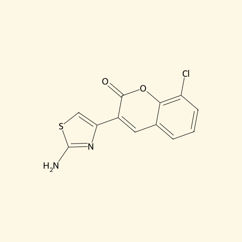 Nc1nc(-c2cc3cccc(Cl)c3oc2=O)cs1